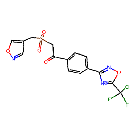 O=C(CS(=O)(=O)Cc1cnoc1)c1ccc(-c2noc(C(F)(F)Cl)n2)cc1